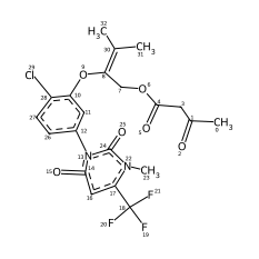 CC(=O)CC(=O)OCC(Oc1cc(-n2c(=O)cc(C(F)(F)F)n(C)c2=O)ccc1Cl)=C(C)C